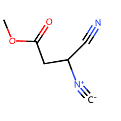 [C-]#[N+]C(C#N)CC(=O)OC